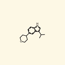 CC(C)c1c[nH]c2ccc(C3CCOCC3)cc12